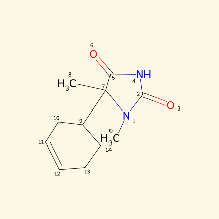 CN1C(=O)NC(=O)C1(C)C1CC=CCC1